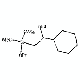 CCCCC(C[Si](CCC)(OC)OC)C1CCCCC1